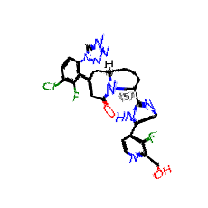 O=C1C=C(c2c(-n3cnnn3)ccc(Cl)c2F)C[C@H]2CC[C@@H](c3ncc(-c4ccnc(CO)c4F)[nH]3)N12